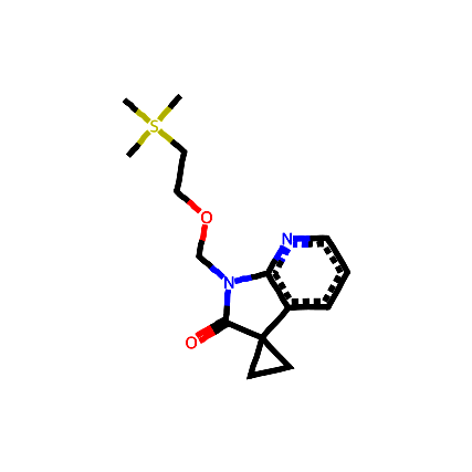 CS(C)(C)CCOCN1C(=O)C2(CC2)c2cccnc21